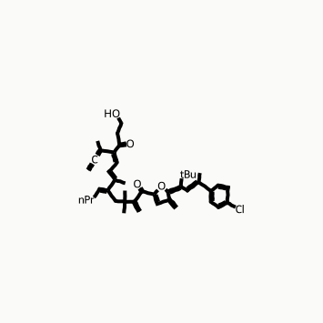 C=C=C(C)\C(=C/C=C(C)/C(=C/CCC)CC(C)(C)C(=C)C(=O)c1cc(=C)/c(=C(\C=C(/C)c2ccc(Cl)cc2)C(C)(C)C)o1)C(=O)CCO